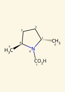 C[C@H]1CC[C@H](C)N1C(=O)O